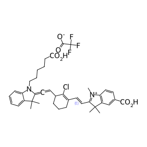 C[N+]1=C(/C=C/C2=C(Cl)C(C=C=C3N(CCCCCC(=O)O)c4ccccc4C3(C)C)CCC2)C(C)(C)c2cc(C(=O)O)ccc21.O=C([O-])C(F)(F)F